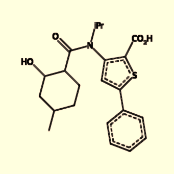 CC1CCC(C(=O)N(c2cc(-c3ccccc3)sc2C(=O)O)C(C)C)C(O)C1